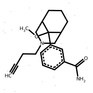 C#CCCN1CC2CCCC(C1)C2(OC)c1cccc(C(N)=O)c1